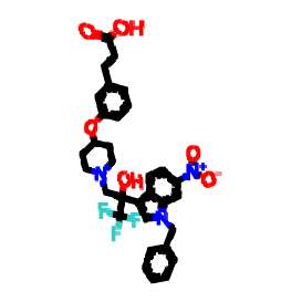 O=C(O)CCc1cccc(OC2CCN(CC(O)(c3cn(Cc4ccccc4)c4cc([N+](=O)[O-])ccc34)C(F)(F)F)CC2)c1